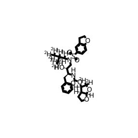 [2H]C([2H])([2H])C([2H])(C([2H])([2H])[2H])C([2H])([2H])N(C[C@@H](O)[C@H](Cc1ccccc1)NC(=O)O[C@]1([2H])[C@@H]2CCO[C@@H]2OC1([2H])[2H])S(=O)(=O)c1ccc2c(c1)CCO2